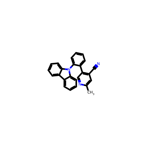 Cc1cc(C#N)c(-c2ccccc2-n2c3ccccc3c3ccccc32)cn1